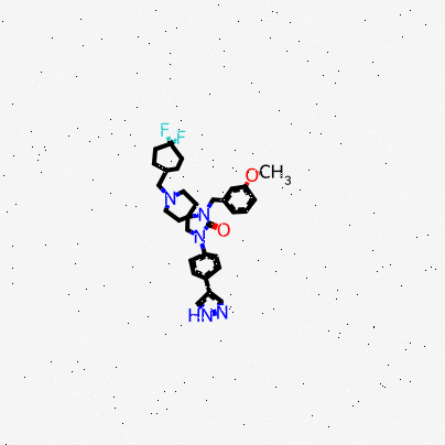 COc1cccc(CN2C(=O)N(c3ccc(-c4cn[nH]c4)cc3)CC23CCN(CC2CCC(F)(F)CC2)CC3)c1